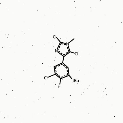 Cn1c(Cl)nc(-c2cc(Cl)c(F)c(C(C)(C)C)c2)c1Cl